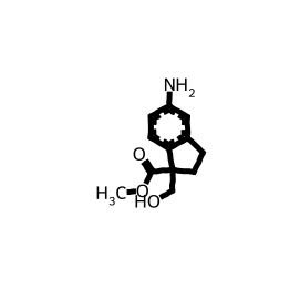 COC(=O)C1(CO)CCc2cc(N)ccc21